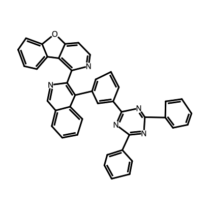 c1ccc(-c2nc(-c3ccccc3)nc(-c3cccc(-c4c(-c5nccc6oc7ccccc7c56)ncc5ccccc45)c3)n2)cc1